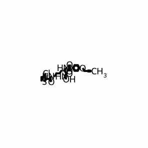 CC#CCOc1ccc(S(=O)(=O)N[C@H](CCCCNC(=O)c2sccc2Cl)C(=O)NO)cc1